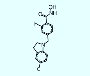 O=C(NO)c1ccc(CN2CCc3cc(Cl)ccc32)cc1F